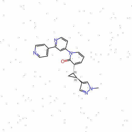 Cn1cc([C@H]2C[C@@H]2c2cccn(-c3ccnc(-c4ccncc4)c3)c2=O)cn1